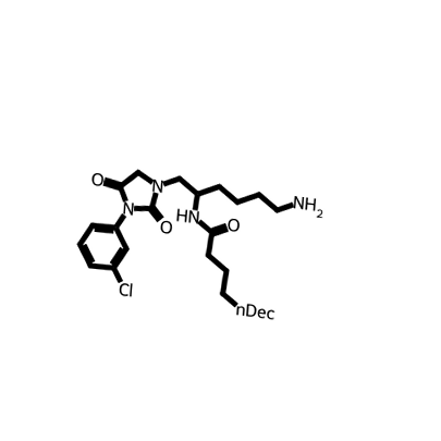 CCCCCCCCCCCCCC(=O)NC(CCCCN)CN1CC(=O)N(c2cccc(Cl)c2)C1=O